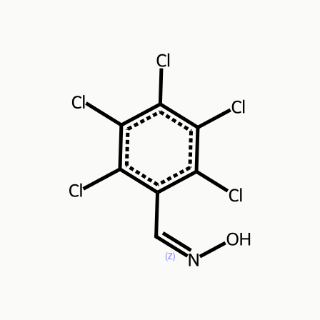 O/N=C\c1c(Cl)c(Cl)c(Cl)c(Cl)c1Cl